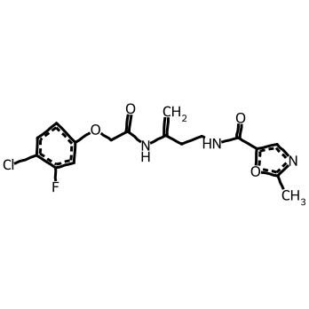 C=C(CCNC(=O)c1cnc(C)o1)NC(=O)COc1ccc(Cl)c(F)c1